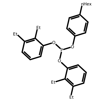 CCCCCCc1ccc(OP(Oc2cccc(CC)c2CC)Oc2cccc(CC)c2CC)cc1